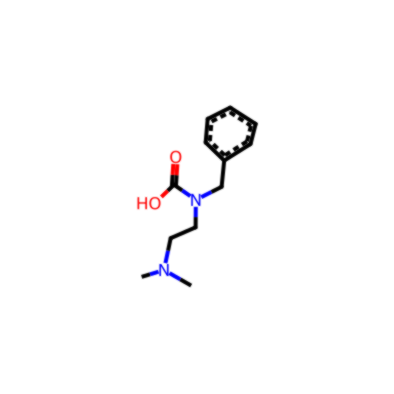 CN(C)CCN(Cc1ccccc1)C(=O)O